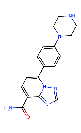 NC(=O)c1ccc(-c2ccc(N3CCNCC3)cc2)n2n[c]nc12